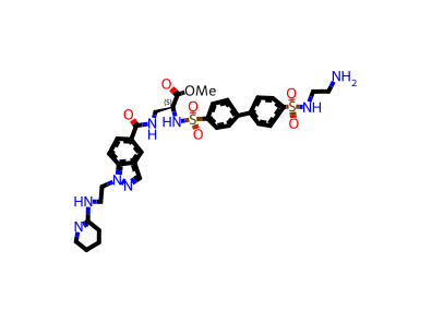 COC(=O)[C@H](CNC(=O)c1ccc2c(cnn2CCNC2=NCCCC2)c1)NS(=O)(=O)c1ccc(-c2ccc(S(=O)(=O)NCCN)cc2)cc1